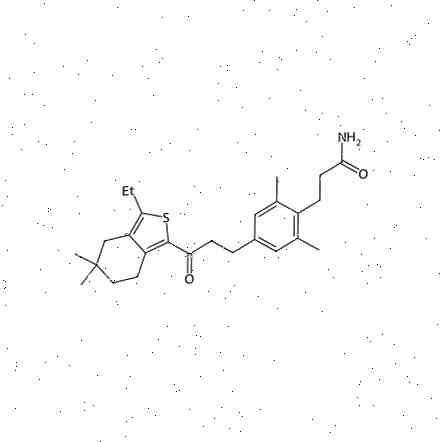 CCc1sc(C(=O)CCc2cc(C)c(CCC(N)=O)c(C)c2)c2c1CC(C)(C)CC2